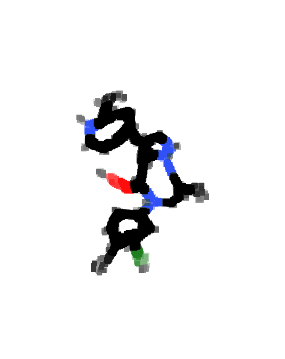 Cc1cc(-c2cnn3c2C(=O)N(c2ccc(C(F)(F)F)c(Cl)c2)CC3C)ccn1